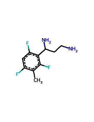 Cc1c(F)cc(F)c(C(N)CCN)c1F